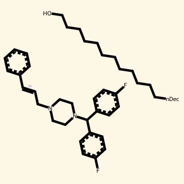 CCCCCCCCCCCCCCCCCCCCCCO.Fc1ccc(C(c2ccc(F)cc2)N2CCN(C/C=C/c3ccccc3)CC2)cc1